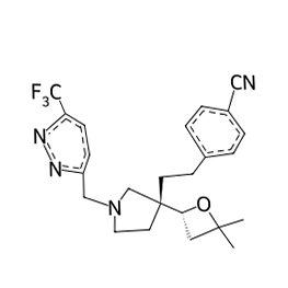 CC1(C)C[C@H]([C@]2(CCc3ccc(C#N)cc3)CCN(Cc3ccc(C(F)(F)F)nn3)C2)O1